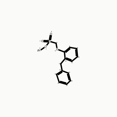 CC(C)OS(=O)(=O)COc1ccccc1Cc1ccccc1